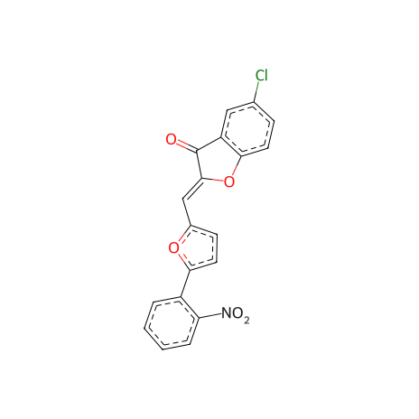 O=C1C(=Cc2ccc(-c3ccccc3[N+](=O)[O-])o2)Oc2ccc(Cl)cc21